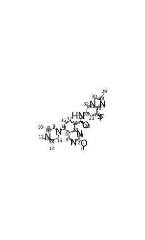 COc1ncc2c(N3C[C@@H](C)N(C)[C@@H](C)C3)ccc(C(=O)Nc3cc(F)c4nc(C)cn4c3)c2n1